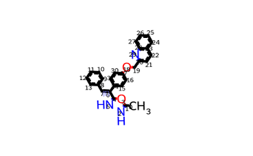 CC(=N)OC(=N)/C(=C/c1ccccc1)c1ccc(OCc2ccc3ccccc3n2)cc1